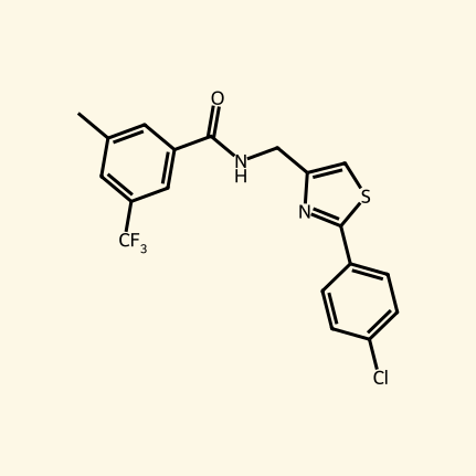 Cc1cc(C(=O)NCc2csc(-c3ccc(Cl)cc3)n2)cc(C(F)(F)F)c1